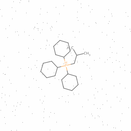 CC(C)C[PH](C1CCCCC1)(C1CCCCC1)C1CCCCC1